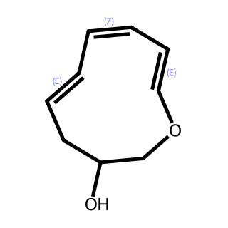 OC1C/C=C/C=C\C=C\OC1